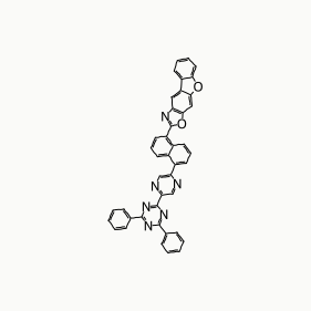 c1ccc(-c2nc(-c3ccccc3)nc(-c3cnc(-c4cccc5c(-c6nc7cc8c(cc7o6)oc6ccccc68)cccc45)cn3)n2)cc1